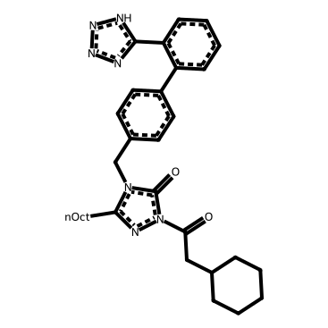 CCCCCCCCc1nn(C(=O)CC2CCCCC2)c(=O)n1Cc1ccc(-c2ccccc2-c2nnn[nH]2)cc1